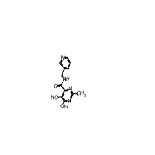 Cc1nc(O)c(O)c(C(=O)NCc2cccnc2)n1